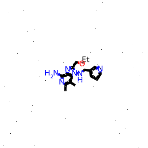 CCOCc1nc2c(N)nc(C)c(C)c2n1NCc1cccnc1